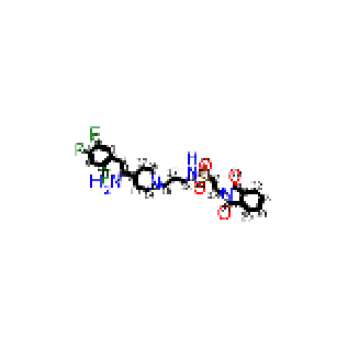 NC(Cc1cc(F)c(F)cc1F)C1CCN(CCCNS(=O)(=O)CCN2C(=O)c3ccccc3C2=O)CC1